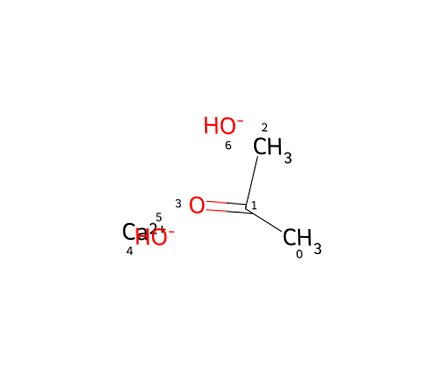 CC(C)=O.[Ca+2].[OH-].[OH-]